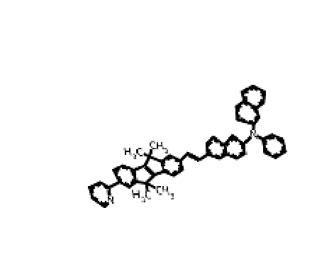 CC1(C)C2=C(c3ccc(/C=C/c4ccc5cc(N(c6ccccc6)c6ccc7ccccc7c6)ccc5c4)cc31)C(C)(C)c1cc(-c3ccccn3)ccc12